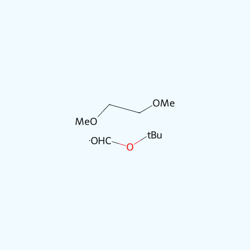 CC(C)(C)O[C]=O.COCCOC